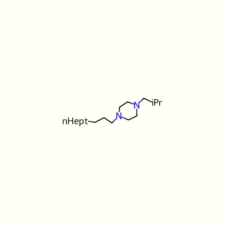 CCCCCCCCCCN1CCN(CC(C)C)CC1